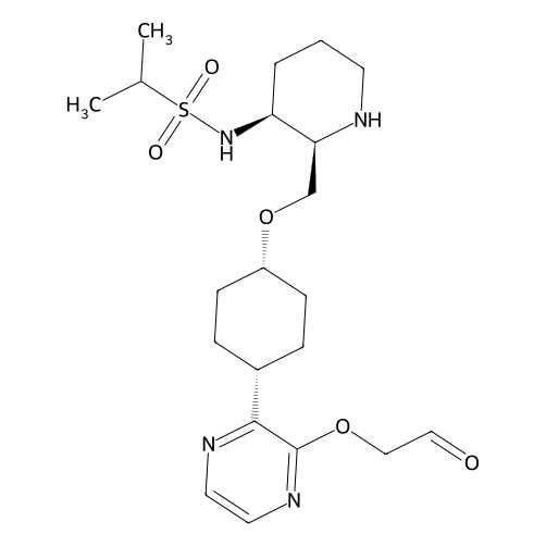 CC(C)S(=O)(=O)N[C@H]1CCCN[C@H]1CO[C@H]1CC[C@@H](c2nccnc2OCC=O)CC1